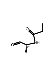 CCC(=O)N[C@@H](C)[C]=O